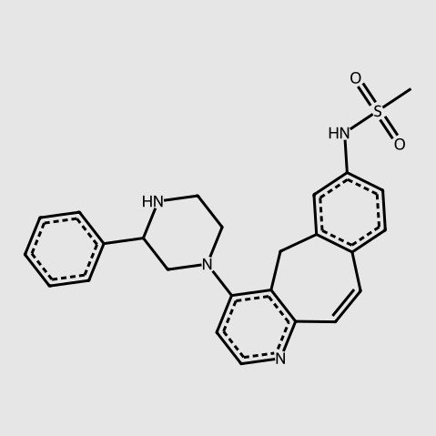 CS(=O)(=O)Nc1ccc2c(c1)Cc1c(N3CCNC(c4ccccc4)C3)ccnc1C=C2